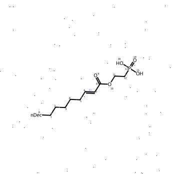 CCCCCCCCCCCCCCC/C=C/C(=O)OCCP(=O)(O)O